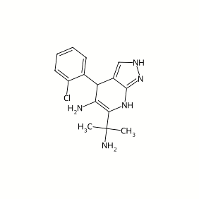 CC(C)(N)C1=C(N)C(c2ccccc2Cl)c2c[nH]nc2N1